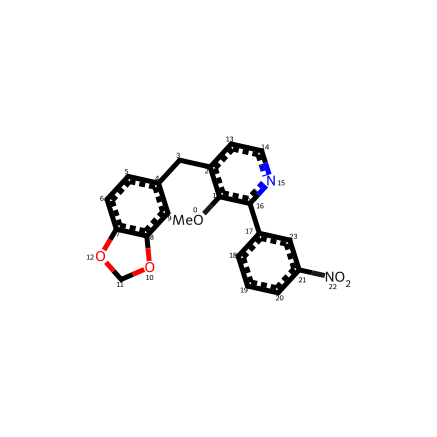 COc1c(Cc2ccc3c(c2)OCO3)ccnc1-c1cccc([N+](=O)[O-])c1